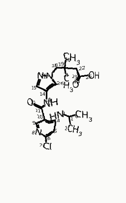 CC(C)Nc1cc(Cl)ncc1C(=O)Nc1cnn(CC(C)(C)CC(=O)O)c1